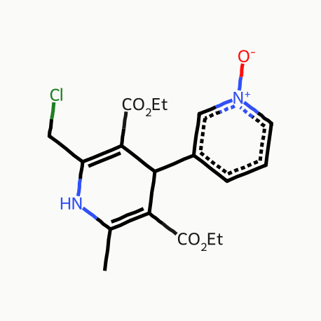 CCOC(=O)C1=C(C)NC(CCl)=C(C(=O)OCC)C1c1ccc[n+]([O-])c1